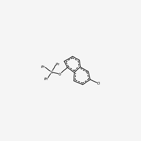 CC(C)[Si](Oc1cccc2cc(Cl)ccc12)(C(C)C)C(C)C